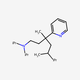 CC(C)C(C)CC(C)(CCN(C(C)C)C(C)C)c1ccccn1